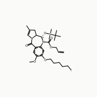 C=CCOC(=O)N1c2cc(OCCCCCI)c(OC)cc2C(=O)N2C=C(C)CC2[C@@H]1O[Si](C)(C)C(C)(C)C